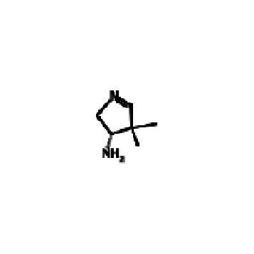 CC1(C)C=NC[C@H]1N